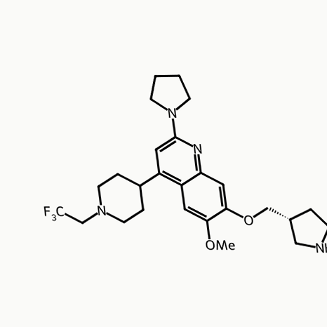 COc1cc2c(C3CCN(CC(F)(F)F)CC3)cc(N3CCCC3)nc2cc1OC[C@@H]1CCNC1